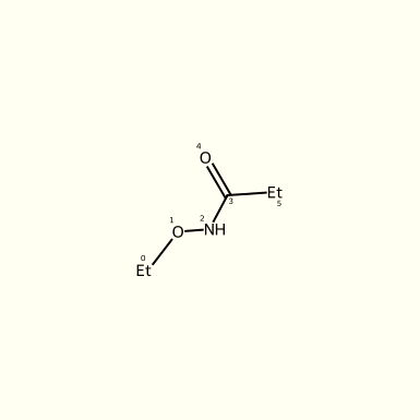 CCONC(=O)CC